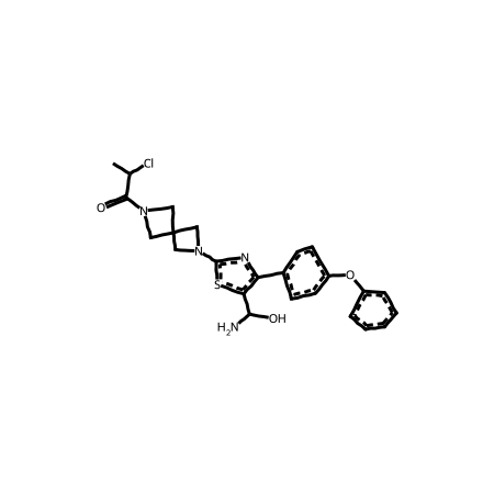 CC(Cl)C(=O)N1CC2(C1)CN(c1nc(-c3ccc(Oc4ccccc4)cc3)c(C(N)O)s1)C2